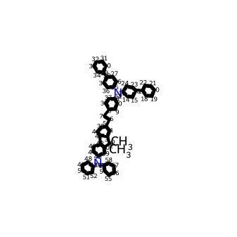 CC1(C)c2cc(/C=C/c3ccc(N(c4ccc(-c5ccccc5)cc4)c4ccc(-c5ccccc5)cc4)cc3)ccc2-c2ccc(N(c3ccccc3)c3ccccc3)cc21